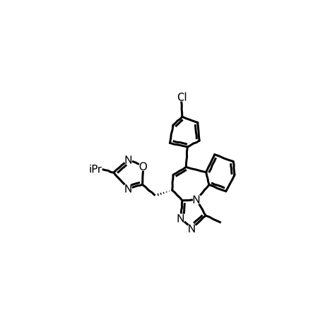 Cc1nnc2n1-c1ccccc1C(c1ccc(Cl)cc1)=C[C@H]2Cc1nc(C(C)C)no1